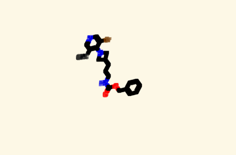 O=Cc1cncc(Br)c1N1CC(CCCNC(=O)OCc2ccccc2)C1